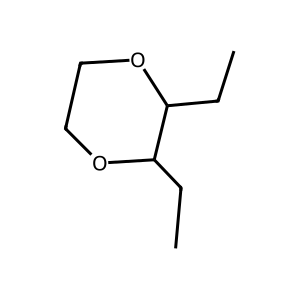 CCC1OCCOC1CC